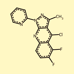 Cc1nn(-c2ccccn2)c2nc3ccc(F)c(F)c3c(Cl)c12